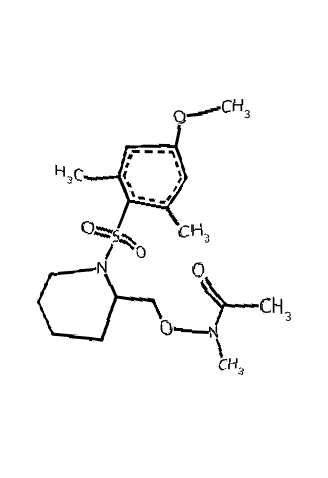 COc1cc(C)c(S(=O)(=O)N2CCCCC2CON(C)C(C)=O)c(C)c1